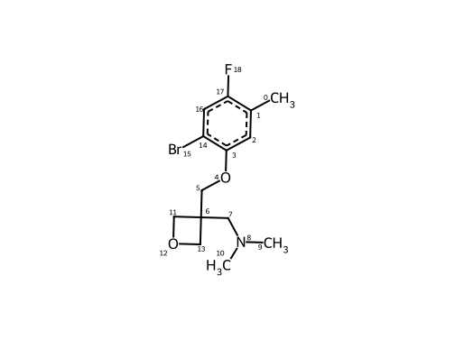 Cc1cc(OCC2(CN(C)C)COC2)c(Br)cc1F